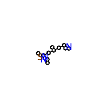 c1ccc2c(c1)ccc1c2nc2c3sc4ccccc4c3cc(-c3ccc(-c4ccc(-c5ccc(-c6cccc7c6ccc6cccnc67)cc5)c5ccccc45)cc3)n12